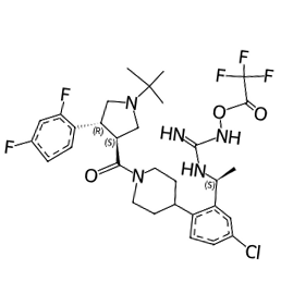 C[C@H](NC(=N)NOC(=O)C(F)(F)F)c1cc(Cl)ccc1C1CCN(C(=O)[C@@H]2CN(C(C)(C)C)C[C@H]2c2ccc(F)cc2F)CC1